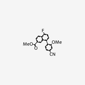 COC(=O)c1ccc2c(F)ccc(-c3ccc(C#N)cc3OC)c2c1